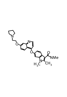 CNC(=O)c1c(C)n(C)c2cc(Oc3ccnc4cc(OCCN5CCCC5)ccc34)ccc12